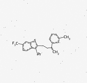 C=C(CCc1sc2cc(C(F)(F)F)ccc2c1C(C)C)c1[c]c(C)ccc1